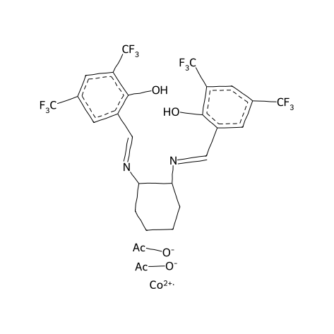 CC(=O)[O-].CC(=O)[O-].Oc1c(C=NC2CCCCC2N=Cc2cc(C(F)(F)F)cc(C(F)(F)F)c2O)cc(C(F)(F)F)cc1C(F)(F)F.[Co+2]